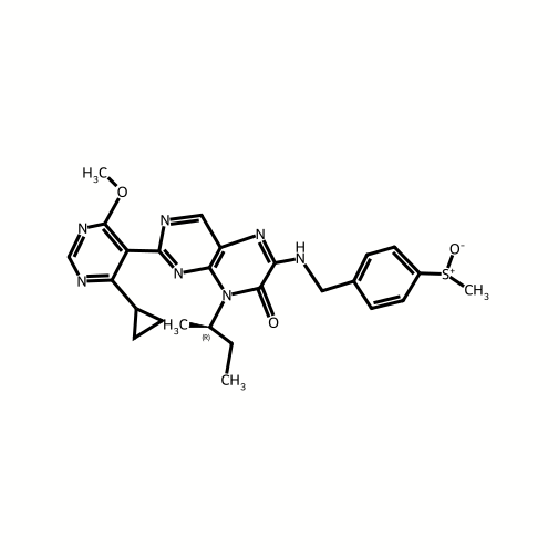 CC[C@@H](C)n1c(=O)c(NCc2ccc([S+](C)[O-])cc2)nc2cnc(-c3c(OC)ncnc3C3CC3)nc21